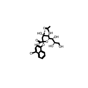 CC(=O)N[C@H]1[C@H]([C@H](O)[C@H](O)CO)O[C@](Oc2ccc(Cl)c3ccccc23)(C(=O)O)C[C@@]1(O)F